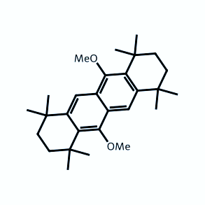 COc1c2c(cc3c(OC)c4c(cc13)C(C)(C)CCC4(C)C)C(C)(C)CCC2(C)C